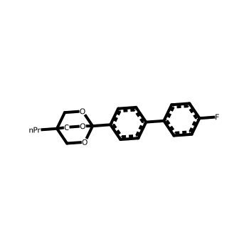 CCCC12COC(c3ccc(-c4ccc(F)cc4)cc3)(OC1)OC2